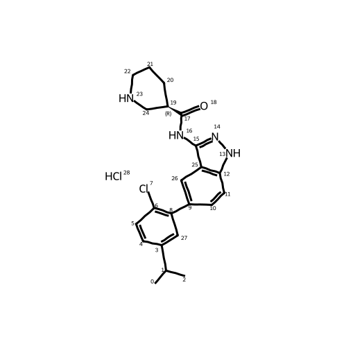 CC(C)c1ccc(Cl)c(-c2ccc3[nH]nc(NC(=O)[C@@H]4CCCNC4)c3c2)c1.Cl